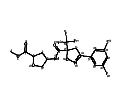 COC(=O)C1CC(NC(=O)C2(C(F)(F)F)CC(c3cc(F)cc(F)c3)=NO2)CO1